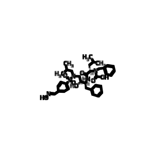 CC(C)C[C@@H](C(=O)N[C@@H](Cc1ccccc1)[C@H](O)CN(CC(C)C)S(=O)(=O)c1ccc(C=NO)cc1)N(Cc1ccccc1)C(=O)O